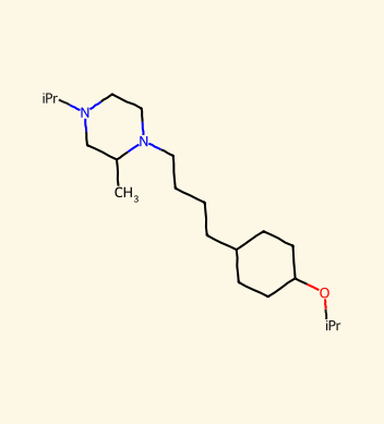 CC(C)OC1CCC(CCCCN2CCN(C(C)C)CC2C)CC1